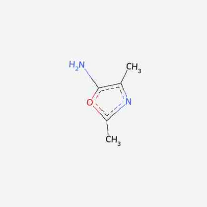 Cc1nc(C)c(N)o1